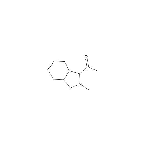 CC(=O)C1C2CCSCC2CN1C